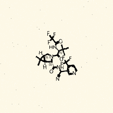 CC(C)(C)[C@H](NC(=O)C(F)(F)F)C(=O)N1C[C@H]2[C@@H]([C@H]1C(=O)NC(C#N)c1cnccc1C(F)(F)F)C2(C)C